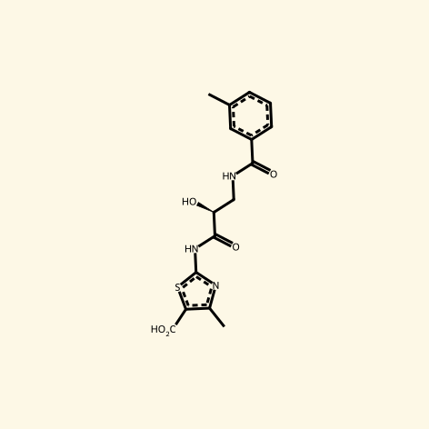 Cc1cccc(C(=O)NC[C@H](O)C(=O)Nc2nc(C)c(C(=O)O)s2)c1